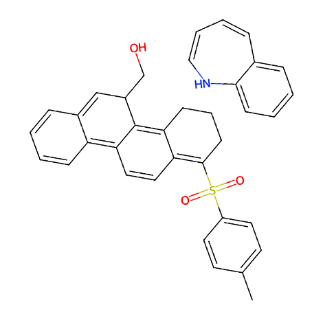 C1=CNc2ccccc2C=C1.Cc1ccc(S(=O)(=O)C2=c3ccc4c(c3CCC2)C(CO)C=c2ccccc2=4)cc1